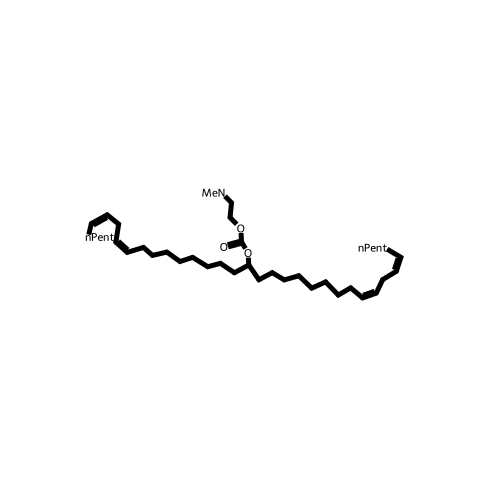 CCCCC/C=C\C/C=C\CCCCCCCCC(CCCCCCCC/C=C\C/C=C\CCCCC)OC(=O)OCCNC